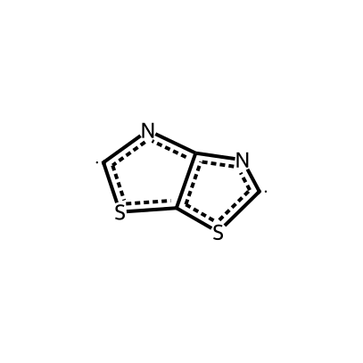 [c]1nc2n[c]sc2s1